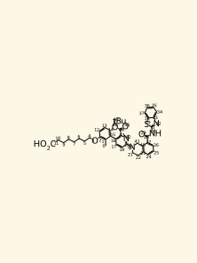 Cc1c(OCCCCCCCC(=O)O)cccc1-c1ccc(N2CCc3cccc(C(=O)Nc4nc5ccccc5s4)c3C2)nc1C(=O)OC(C)(C)C